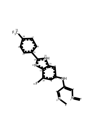 C=N/C=C(\C=N/C)Nc1cc(F)c2nc(-c3ccc(C(F)(F)F)cc3)[nH]c2c1